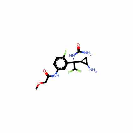 COCC(=O)Nc1ccc(F)c([C@](NC(N)=O)(C(F)F)[C@H]2C[C@H]2N)c1